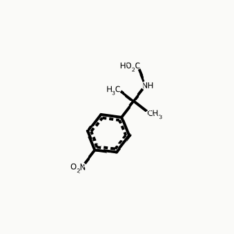 CC(C)(NC(=O)O)c1ccc([N+](=O)[O-])cc1